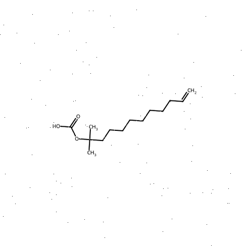 C=CCCCCCCCCC(C)(C)OC(=O)O